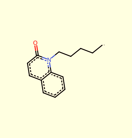 [CH2]CCCCn1c(=O)ccc2ccccc21